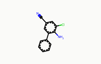 N#Cc1cc(Cl)c(N)c(-c2ccccc2)c1